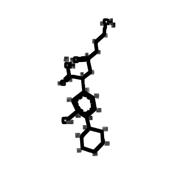 CCCCC(=O)CC(C(=O)O)c1ccc(C2CCCCC2)c(Cl)c1